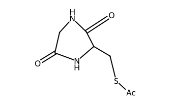 CC(=O)SCC1NC(=O)CNC1=O